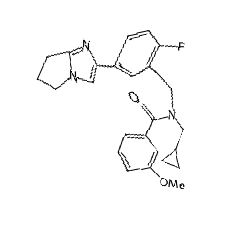 COc1cccc(C(=O)N(Cc2cc(-c3cn4c(n3)CCC4)ccc2F)CC2CC2)c1